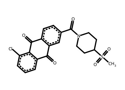 CS(=O)(=O)C1CCN(C(=O)c2ccc3c(c2)C(=O)c2cccc(Cl)c2C3=O)CC1